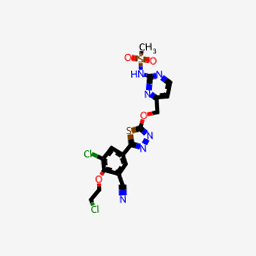 CS(=O)(=O)Nc1nccc(COc2nnc(-c3cc(Cl)c(OCCCl)c(C#N)c3)s2)n1